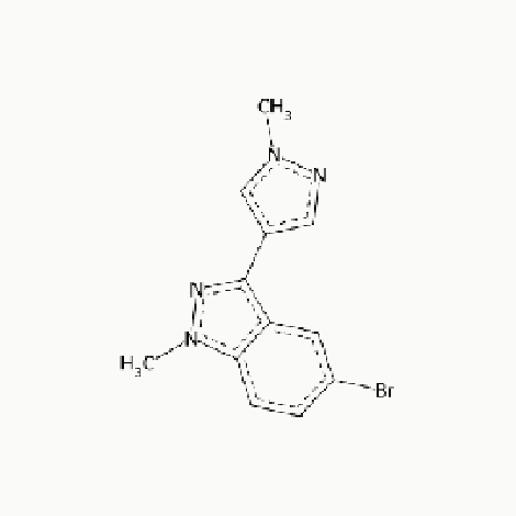 Cn1cc(-c2nn(C)c3ccc(Br)cc23)cn1